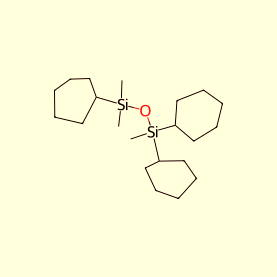 C[Si](C)(O[Si](C)(C1CCCCC1)C1CCCCC1)C1CCCCC1